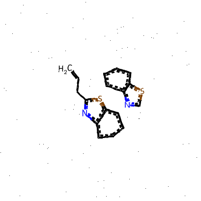 C=CCc1nc2ccccc2s1.c1ccc2scnc2c1